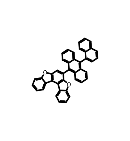 c1ccc2c(-c3c4ccccc4c(-c4cc5oc6ccccc6c5c5c4oc4ccccc45)c4ccccc34)cccc2c1